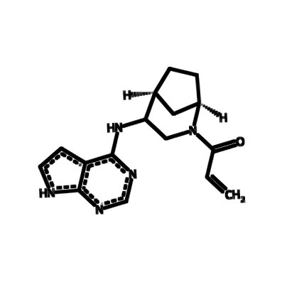 C=CC(=O)N1CC(Nc2ncnc3[nH]ccc23)[C@H]2CC[C@@H]1C2